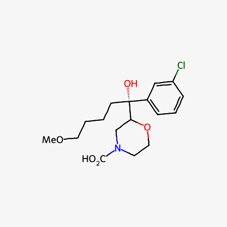 COCCCC[C@@](O)(c1cccc(Cl)c1)C1CN(C(=O)O)CCO1